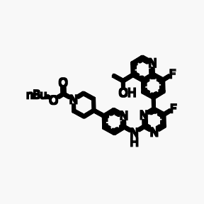 CCCCOC(=O)N1CCC(c2ccc(Nc3ncc(F)c(-c4cc(F)c5nccc(C(C)O)c5c4)n3)nc2)CC1